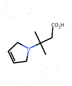 CC(C)(CC(=O)O)N1CC=CC1